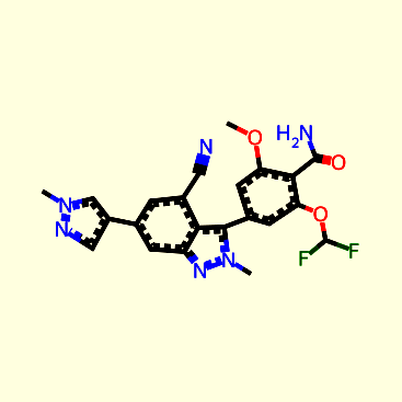 COc1cc(-c2c3c(C#N)cc(-c4cnn(C)c4)cc3nn2C)cc(OC(F)F)c1C(N)=O